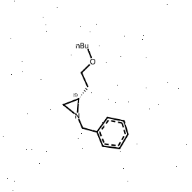 CCCCOCC[C@H]1CN1Cc1ccccc1